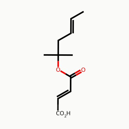 CC=CCC(C)(C)OC(=O)C=CC(=O)O